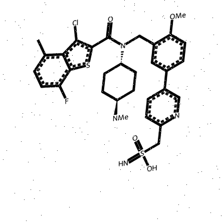 CN[C@H]1CC[C@H](N(Cc2cc(-c3ccc(CS(=N)(=O)O)nc3)ccc2OC)C(=O)c2sc3c(F)ccc(C)c3c2Cl)CC1